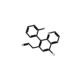 O=CCc1cc(Cl)c2cccnc2c1-c1ccccc1F